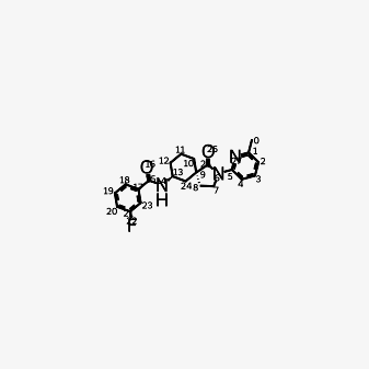 Cc1cccc(N2CC[C@]3(CCC[C@H](NC(=O)c4cccc(F)c4)C3)C2=O)n1